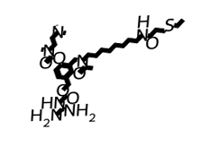 CCSCCC(=O)NCCCCCCCCN(Cc1cc(COC(=O)NC(N)N)ccc1OC(=O)N(C)CCN(C)C)C(C)=O